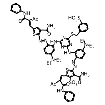 CCN(CC)c1ccc(/N=N/c2sc(/C=C(\C(C)=O)C(=O)Nc3ccccc3)cc2C(N)=O)c(Nc2nc(Nc3cc(N(CC)CC)ccc3/N=N/c3sc(/C=C(/C(C)=O)C(=O)Nc4ccccc4)c(S(=O)(=O)O)c3C(N)=O)nc(SCc3cccc(S(=O)(=O)O)c3)n2)c1